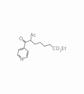 CCOC(=O)CCCCC(C(C)=O)C(=O)c1ccncc1